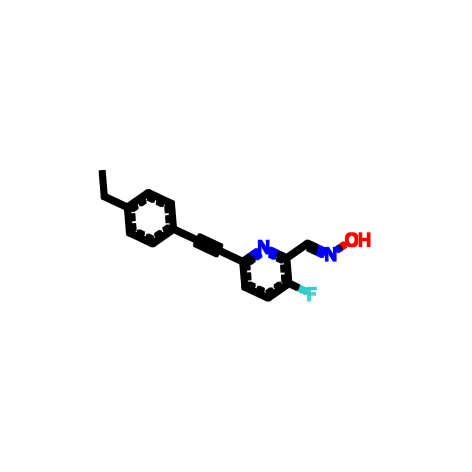 CCc1ccc(C#Cc2ccc(F)c(/C=N/O)n2)cc1